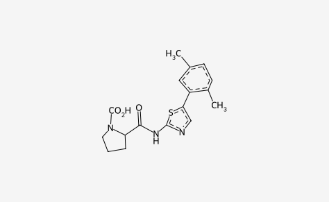 Cc1ccc(C)c(-c2cnc(NC(=O)C3CCCN3C(=O)O)s2)c1